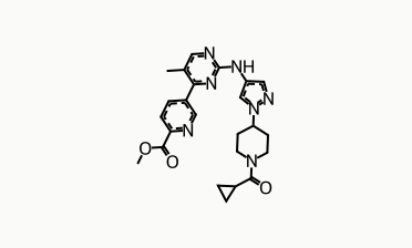 COC(=O)c1ccc(-c2nc(Nc3cnn(C4CCN(C(=O)C5CC5)CC4)c3)ncc2C)cn1